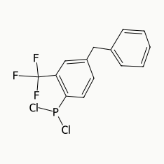 FC(F)(F)c1cc(Cc2ccccc2)ccc1P(Cl)Cl